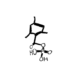 Cc1cc(C)c(C(=O)OP(=O)(O)O)c(C)c1